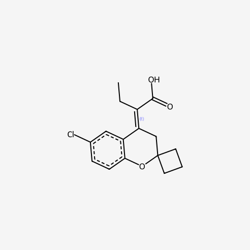 CC/C(C(=O)O)=C1/CC2(CCC2)Oc2ccc(Cl)cc21